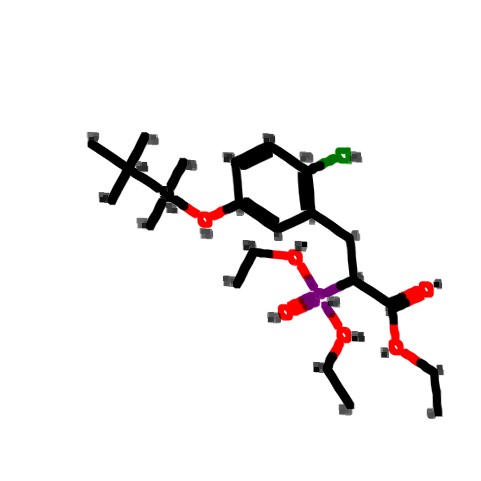 CCOC(=O)C(Cc1cc(O[Si](C)(C)C(C)(C)C)ccc1Cl)P(=O)(OCC)OCC